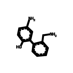 NCc1ccccc1-c1cc(N)ccc1O